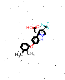 Cc1cccc(Oc2ccc([C@@]3(CC(=O)O)C[C@H](C(F)(F)F)CN3)cc2)c1C